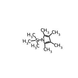 Cc1c(C)c(C)n([Si](C)(C)C)c1C